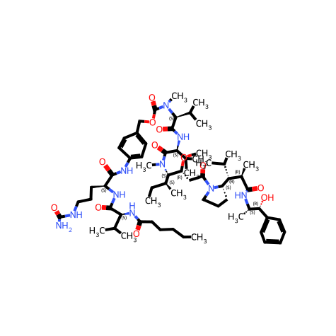 CCCCCC(=O)N[C@H](C(=O)N[C@@H](CCCNC(N)=O)C(=O)Nc1ccc(COC(=O)N(C)[C@H](C(=O)N[C@H](C(=O)N(C)[C@@H]([C@@H](C)CC)[C@@H](CC(=O)N2CCC[C@H]2[C@H](C(C)C)[C@@H](C)C(=O)N[C@@H](C)[C@H](O)c2ccccc2)OC)C(C)C)C(C)C)cc1)C(C)C